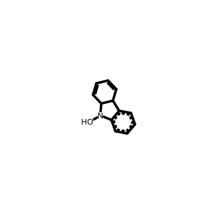 ON1c2ccccc2C2C=CC=CC21